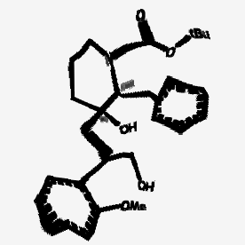 COc1ccccc1C(=C[C@]1(O)CCCN(C(=O)OC(C)(C)C)[C@H]1c1ccccc1)CO